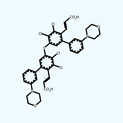 O=C(O)/C=C/c1c(-c2cccc(N3CCOCC3)c2)cc(Sc2cc(-c3cccc(N4CCOCC4)c3)c(/C=C/C(=O)O)c(Cl)c2Cl)c(Cl)c1Cl